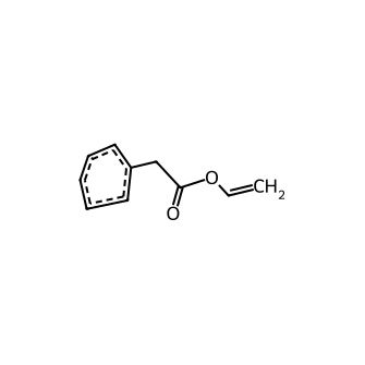 C=COC(=O)Cc1ccccc1